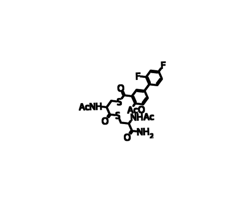 CC(=O)NC(CSC(=O)C(CSC(=O)c1cc(-c2ccc(F)cc2F)ccc1OC(C)=O)NC(C)=O)C(N)=O